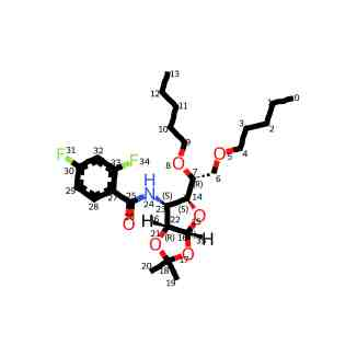 CCCCCOC[C@@H](OCCCCC)[C@H]1O[C@@H]2OC(C)(C)O[C@@H]2[C@H]1NC(=O)c1ccc(F)cc1F